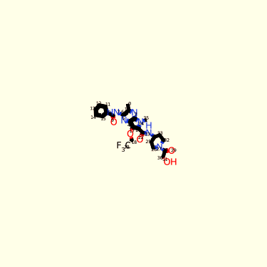 Cc1nc2c(nc1NC(=O)c1ccccc1)c(OCC(F)(F)F)c(C(=O)NC1CCN(C(=O)CO)CC1)n2C